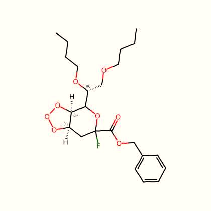 CCCCOC[C@@H](OCCCC)C1OC(F)(C(=O)OCc2ccccc2)C[C@H]2OOO[C@@H]12